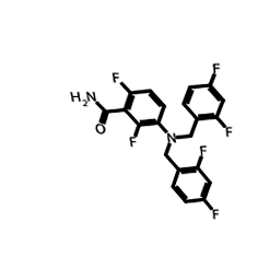 NC(=O)c1c(F)ccc(N(Cc2ccc(F)cc2F)Cc2ccc(F)cc2F)c1F